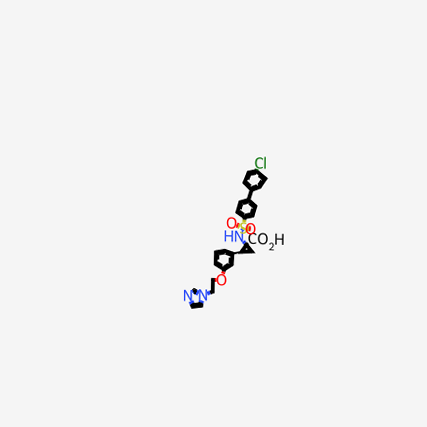 O=C(O)[C@@]1(NS(=O)(=O)c2ccc(-c3ccc(Cl)cc3)cc2)C[C@H]1c1cccc(OCCn2ccnc2)c1